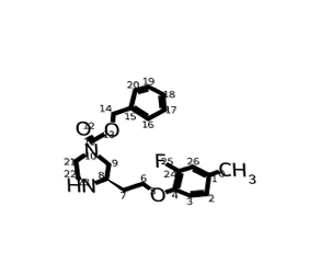 Cc1ccc(OCC[C@@H]2CN(C(=O)OCc3ccccc3)CCN2)c(F)c1